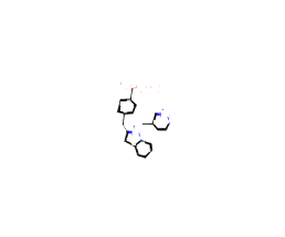 O=C(O)c1ccc(Cc2cc3ccccc3n2Cc2cccnc2)cc1